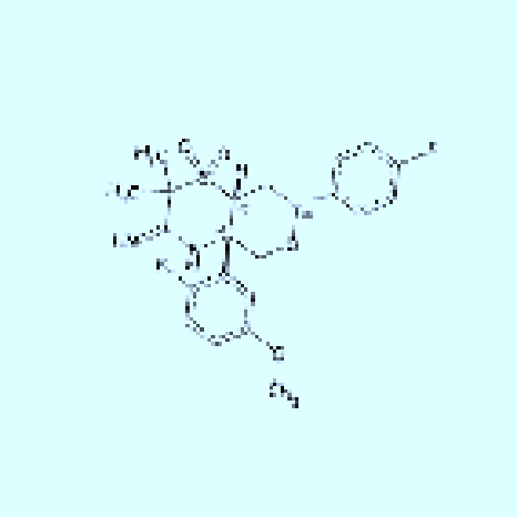 COc1ccc(F)c([C@]23CO[C@@H](c4ccc(F)cc4)C[C@H]2S(=O)(=O)C(C)(C)C(=N)N3)c1